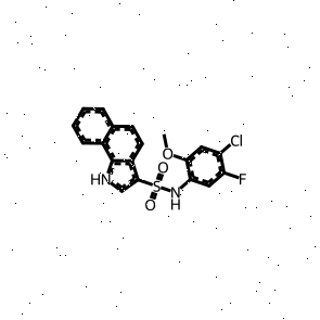 COc1cc(Cl)c(F)cc1NS(=O)(=O)c1c[nH]c2c1ccc1ccccc12